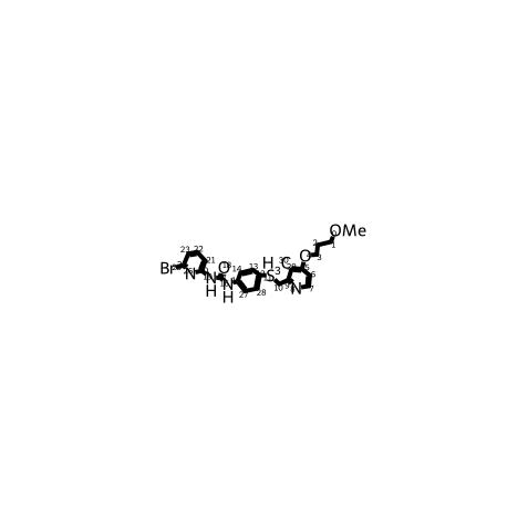 COCCCOc1ccnc(CSc2ccc(NC(=O)Nc3cccc(Br)n3)cc2)c1C